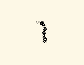 O=C(Cc1nnc(-c2cnc(NC3Cc4ccc(C(F)(F)F)cc4C3)nc2)o1)N1CCc2[nH]nnc2C1